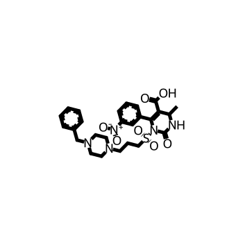 CC1NC(=O)N(S(=O)(=O)CCCN2CCN(Cc3ccccc3)CC2)C(c2cccc([N+](=O)[O-])c2)=C1C(=O)O